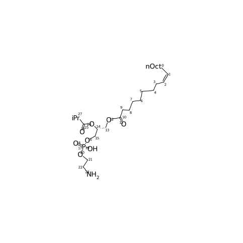 CCCCCCCC/C=C\CCCCCCCC(=O)OC[C@H](COP(=O)(O)OCCN)OC(=O)C(C)C